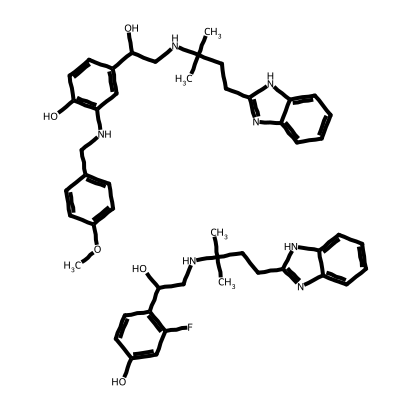 CC(C)(CCc1nc2ccccc2[nH]1)NCC(O)c1ccc(O)cc1F.COc1ccc(CNc2cc(C(O)CNC(C)(C)CCc3nc4ccccc4[nH]3)ccc2O)cc1